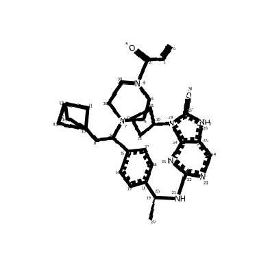 C=CC(=O)N1CCN(C(CC23CC(C2)C3)c2ccc([C@H](C)Nc3ncc4[nH]c(=O)n(C5CCC5)c4n3)cc2)CC1